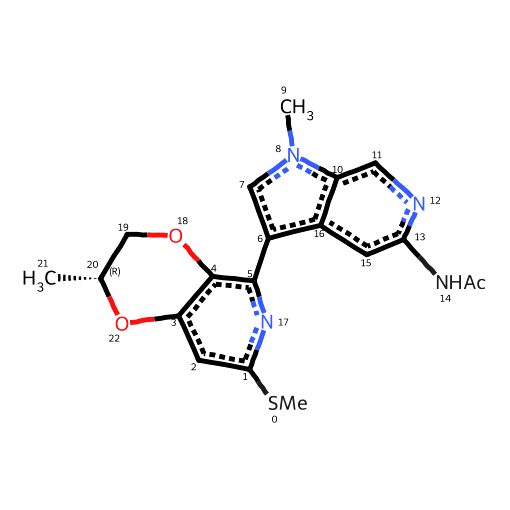 CSc1cc2c(c(-c3cn(C)c4cnc(NC(C)=O)cc34)n1)OC[C@@H](C)O2